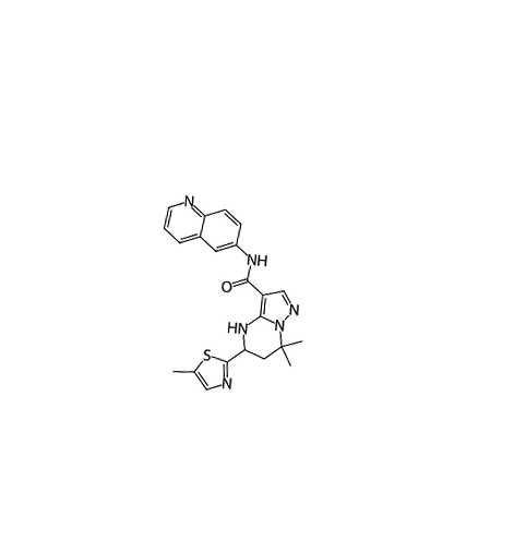 Cc1cnc(C2CC(C)(C)n3ncc(C(=O)Nc4ccc5ncccc5c4)c3N2)s1